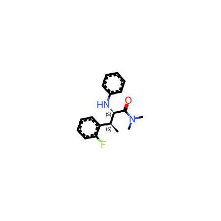 C[C@@H](c1ccccc1F)[C@H](Nc1ccccc1)C(=O)N(C)C